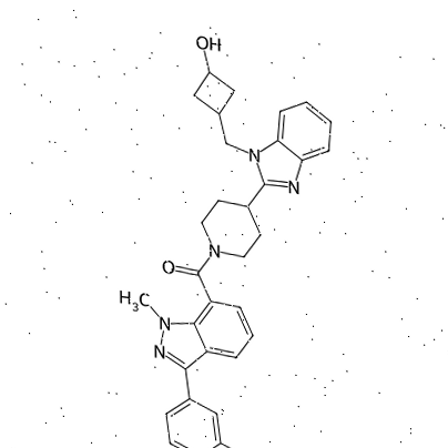 Cn1nc(-c2cccc(F)c2)c2cccc(C(=O)N3CCC(c4nc5ccccc5n4CC4CC(O)C4)CC3)c21